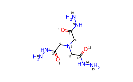 NNC(=O)CN(CC(=O)NN)CC(=O)NN